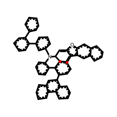 C1=c2oc3cc4ccccc4cc3c2=CCC1N(c1cccc(-c2ccccc2-c2ccccc2)c1)c1ccccc1-c1ccccc1-c1cc2ccccc2c2ccccc12